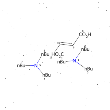 CCCCN(CCCC)CCCC.CCCCN(CCCC)CCCC.O=C(O)/C=C/C(=O)O